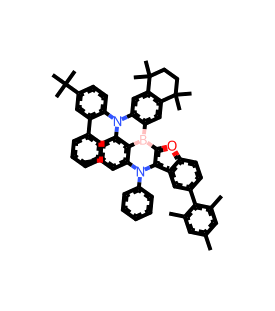 Cc1cc(C)c(-c2ccc3oc4c(c3c2)N(c2ccccc2)c2cc(C)cc3c2B4c2cc4c(cc2N3c2ccc(C(C)(C)C)cc2-c2ccccc2)C(C)(C)CCC4(C)C)c(C)c1